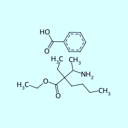 CCCCC(CC)(C(=O)OCC)C(C)N.O=C(O)c1ccccc1